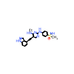 CCNc1nc(Nc2ccc(S(C)(=N)=O)cc2)ncc1C#Cc1cccc2[nH]ncc12